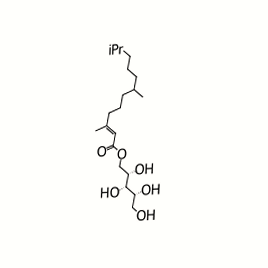 CC(=CC(=O)OC[C@H](O)[C@@H](O)[C@H](O)CO)CCCC(C)CCCC(C)C